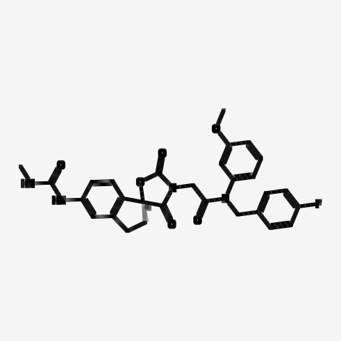 CNC(=O)Nc1ccc2c(c1)CC[C@@]21OC(=O)N(CC(=O)N(Cc2ccc(F)cc2)c2cccc(OC)c2)C1=O